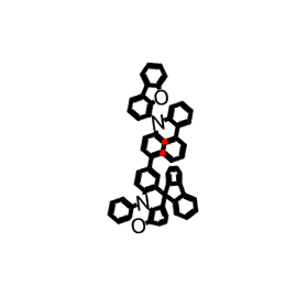 c1ccc(-c2ccccc2N(c2ccc(-c3ccc4c(c3)C3(c5ccccc5-c5ccccc53)c3cccc5c3N4c3ccccc3O5)cc2)c2cccc3c2oc2ccccc23)cc1